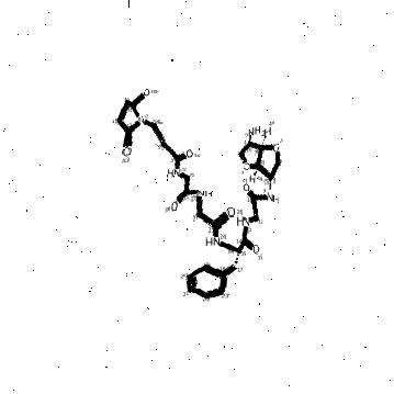 N[C@H]1CO[C@H]2[C@@H]1OC[C@@H]2NC(=O)CNC(=O)[C@H](Cc1ccccc1)NC(=O)CNC(=O)CNC(=O)CCN1C(=O)C=CC1=O